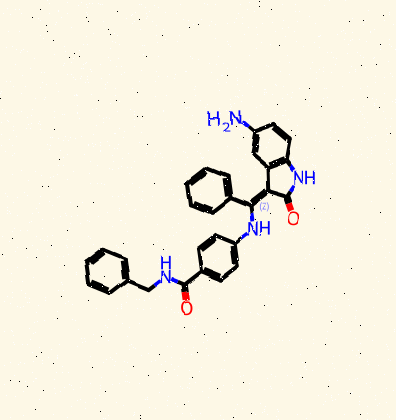 Nc1ccc2c(c1)/C(=C(/Nc1ccc(C(=O)NCc3ccccc3)cc1)c1ccccc1)C(=O)N2